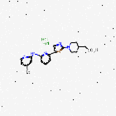 CCc1ccnc(Nc2cccc(-c3cnc(N4CCC(CC(=O)O)CC4)s3)n2)c1.Cl.Cl